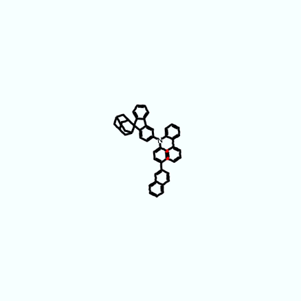 c1ccc(-c2ccccc2N(c2ccc(-c3ccc4ccccc4c3)cc2)c2ccc3c(c2)-c2ccccc2C32C3CC4CC(C3)CC2C4)cc1